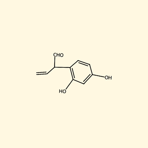 C=CC(C=O)c1ccc(O)cc1O